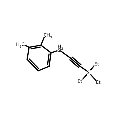 CC[Si](C#C[SiH2]c1cccc(C)c1C)(CC)CC